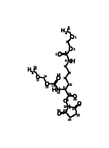 COCOC(=O)NCCCCC(NC(=O)OCOC)C(=O)ON1C(=O)CCC1=O